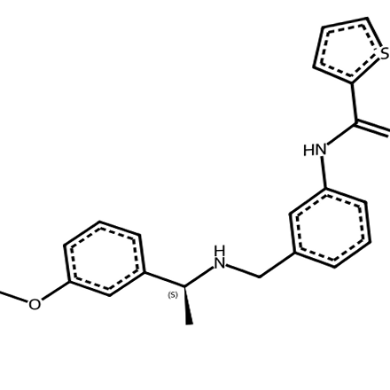 COc1cccc([C@H](C)NCc2cccc(NC(=O)c3cccs3)c2)c1